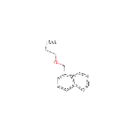 CCCCCCCCCCOCc1cccc2ccccc12